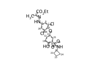 CCOC(=O)C(C)=NNc1cc(Cl)c(Oc2ccc(O)c(S(=O)(=O)NC3CCC3)c2)c(Cl)c1